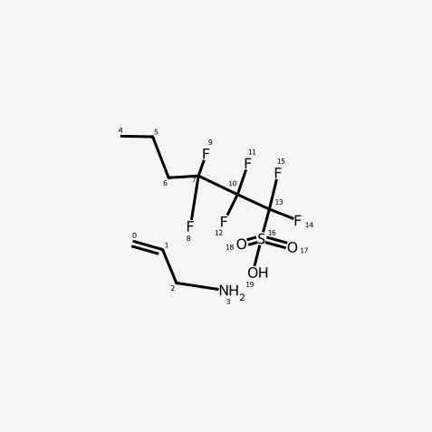 C=CCN.CCCC(F)(F)C(F)(F)C(F)(F)S(=O)(=O)O